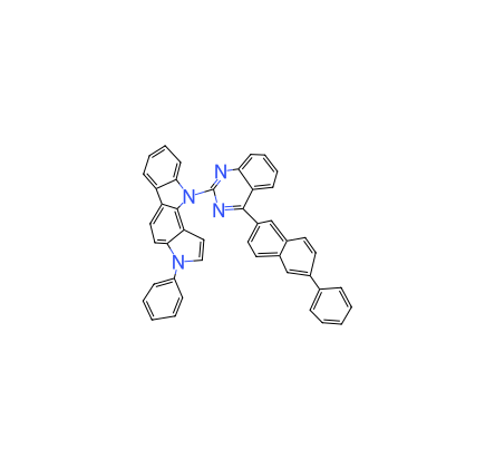 c1ccc(-c2ccc3cc(-c4nc(-n5c6ccccc6c6ccc7c(ccn7-c7ccccc7)c65)nc5ccccc45)ccc3c2)cc1